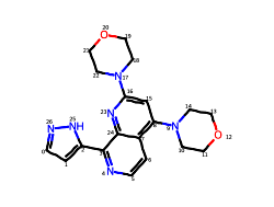 c1cc(-c2nccc3c(N4CCOCC4)cc(N4CCOCC4)nc23)[nH]n1